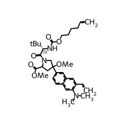 C=CCCCCOC(=O)N[C@H](C(=O)N1CC(OC)(c2ccc3cc(N(C)C)c(C=C)cc3c2)CC1C(=O)OC)C(C)(C)C